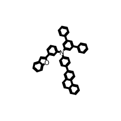 c1ccc(-c2cc(-c3ccccc3)cc(N(c3ccc(-c4ccc5c(ccc6ccccc65)c4)cc3)c3cccc(-c4cc5ccccc5o4)c3)c2)cc1